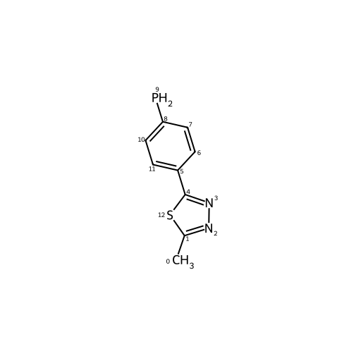 Cc1nnc(-c2ccc(P)cc2)s1